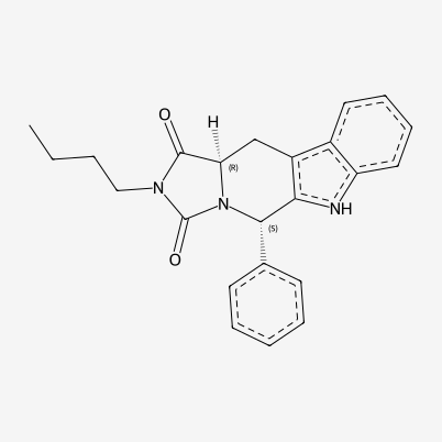 CCCCN1C(=O)[C@H]2Cc3c([nH]c4ccccc34)[C@H](c3ccccc3)N2C1=O